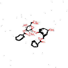 O=C(OCc1cc(O)ccc1O[C@@H]1O[C@H](CO)[C@@H](O)[C@H](OC(=O)c2ccccc2)[C@H]1O)c1ccccc1